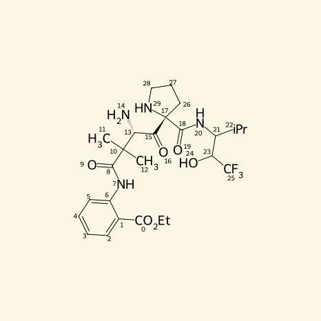 CCOC(=O)c1ccccc1NC(=O)C(C)(C)[C@H](N)C(=O)[C@]1(C(=O)NC(C(C)C)C(O)C(F)(F)F)CCCN1